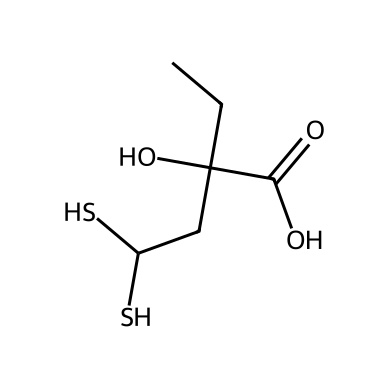 CCC(O)(CC(S)S)C(=O)O